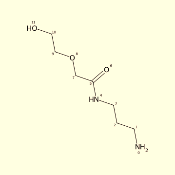 NCCCNC(=O)COCCO